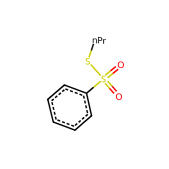 CCCSS(=O)(=O)c1ccccc1